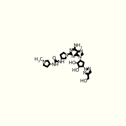 CN1CC[C@@H](NC(=O)N[C@@H]2CCN(c3nc(N)c4ncn([C@@H]5C[C@H](n6ncc(CO)n6)[C@@H](O)[C@H]5O)c4n3)C2)C1